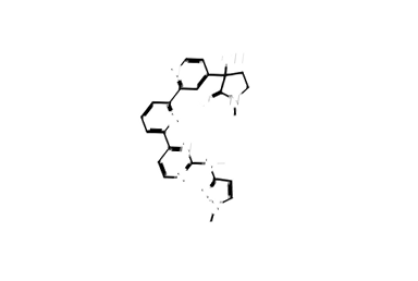 CN1CCC(O)(c2ccnc(-c3cccc(-c4ccnc(Nc5ccn(C)n5)n4)n3)c2)C1=O